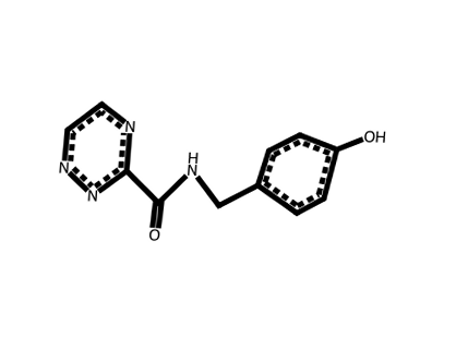 O=C(NCc1ccc(O)cc1)c1nccnn1